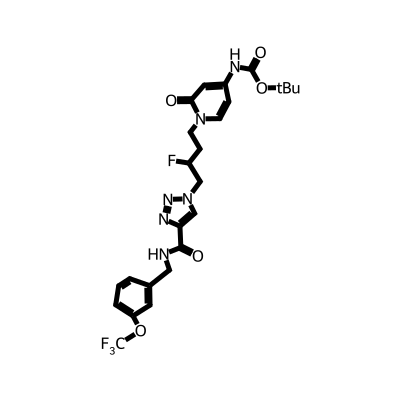 CC(C)(C)OC(=O)Nc1ccn(CCC(F)Cn2cc(C(=O)NCc3cccc(OC(F)(F)F)c3)nn2)c(=O)c1